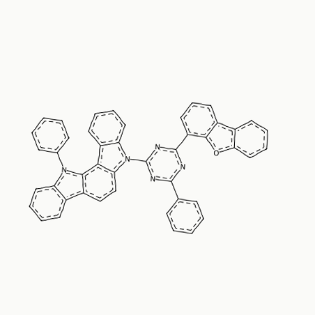 c1ccc(-c2nc(-c3cccc4c3oc3ccccc34)nc(-n3c4ccccc4c4c3ccc3c5ccccc5n(-c5ccccc5)c34)n2)cc1